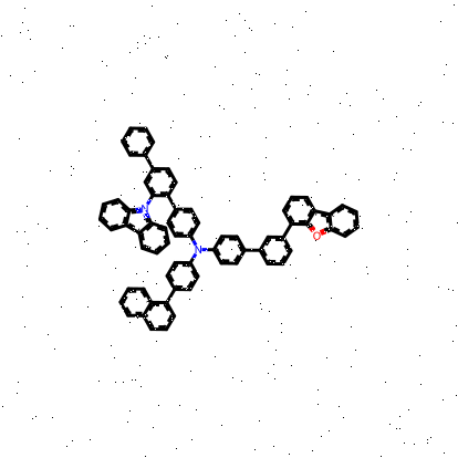 c1ccc(-c2ccc(-c3ccc(N(c4ccc(-c5cccc(-c6cccc7c6oc6ccccc67)c5)cc4)c4ccc(-c5cccc6ccccc56)cc4)cc3)c(-n3c4ccccc4c4ccccc43)c2)cc1